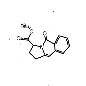 CC(C)(C)OC(=O)C1CCc2cc3ccccc3c(=O)n21